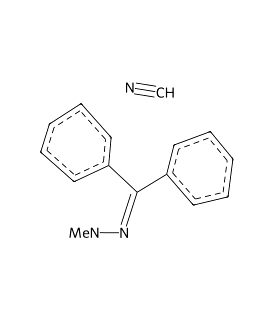 C#N.CNN=C(c1ccccc1)c1ccccc1